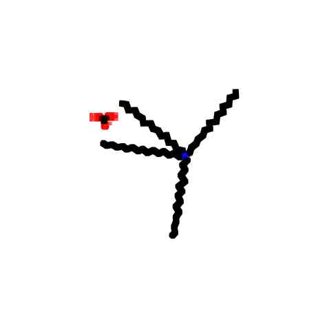 CCCCCCCCCCCCCCCC[N+](CCCCCCCCCCCCCCCC)(CCCCCCCCCCCCCCCC)CCCCCCCCCCCCCCCC.[O-]B(O)O